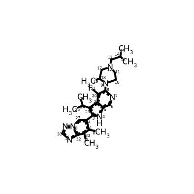 Cc1c(-c2[nH]c3cnc(N4CCN(CC(C)C)CC4C)c(F)c3c2C(C)C)cn2ncnc2c1C